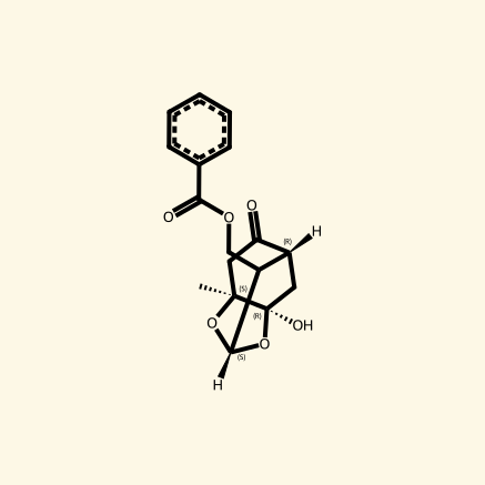 C[C@]12CC(=O)[C@@H]3C[C@@]1(O)O[C@H](O2)C3COC(=O)c1ccccc1